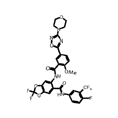 COc1ccc(-c2nc(N3CCOCC3)no2)cc1C(=O)Nc1cc2c(cc1C(=O)Nc1ccc(F)c(C(F)(F)F)c1)OC(F)(F)O2